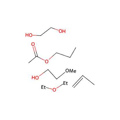 C=CC.CCCOC(C)=O.CCOCC.COCCO.OCCO